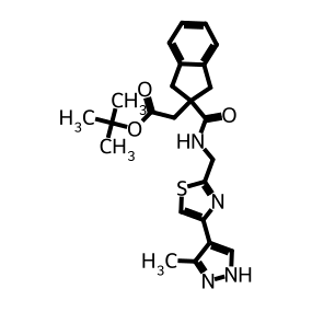 Cc1n[nH]cc1-c1csc(CNC(=O)C2(CC(=O)OC(C)(C)C)Cc3ccccc3C2)n1